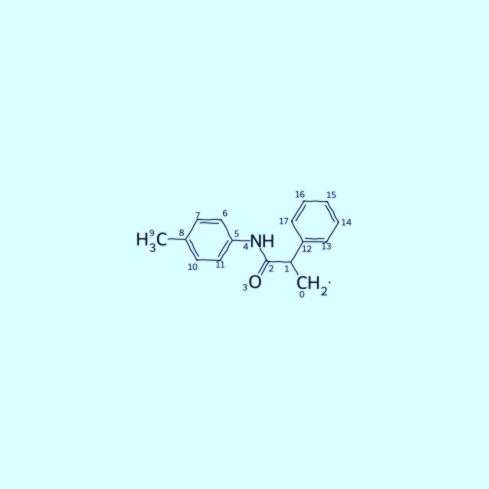 [CH2]C(C(=O)Nc1ccc(C)cc1)c1ccccc1